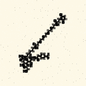 O=C(CCOCCOCCOCCOCCNC(=O)CCN1C(=O)C=CC1=O)NCCCCCCO[C@]1(C(=O)O)C[C@H](O)[C@@H](NC(=O)CO)[C@H]([C@H](O)[C@H](O)CNC(=O)Cc2ccc(C(F)F)cc2)O1